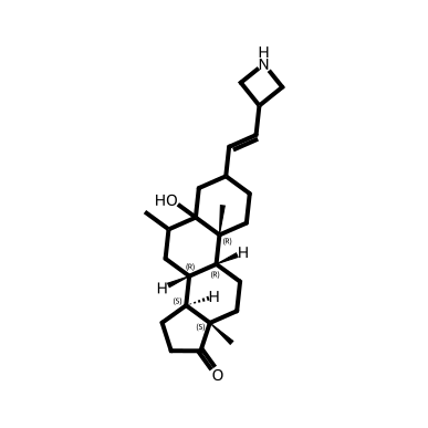 CC1C[C@@H]2[C@@H](CC[C@]3(C)C(=O)CC[C@@H]23)[C@@]2(C)CCC(C=CC3CNC3)CC12O